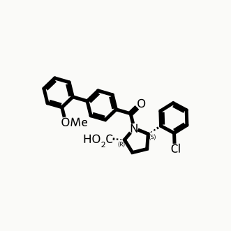 COc1ccccc1-c1ccc(C(=O)N2[C@@H](C(=O)O)CC[C@H]2c2ccccc2Cl)cc1